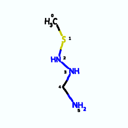 CSNNCN